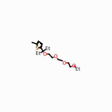 CCOCCOCCOCCOC(CC)(CC)c1ccc(C)s1